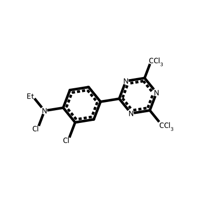 CCN(Cl)c1ccc(-c2nc(C(Cl)(Cl)Cl)nc(C(Cl)(Cl)Cl)n2)cc1Cl